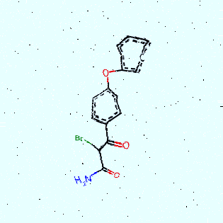 NC(=O)C(Br)C(=O)c1ccc(Oc2ccccc2)cc1